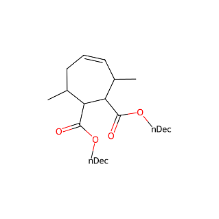 CCCCCCCCCCOC(=O)C1C(C)C=CCC(C)C1C(=O)OCCCCCCCCCC